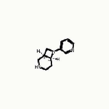 c1cncc(N2C[C@@H]3CNCC[C@@H]32)c1